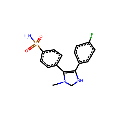 CN1CNC(c2ccc(F)cc2)=C1c1ccc(S(N)(=O)=O)cc1